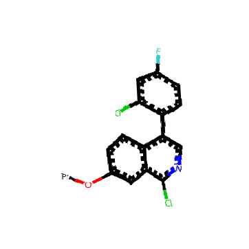 CC(C)Oc1ccc2c(-c3ccc(F)cc3Cl)cnc(Cl)c2c1